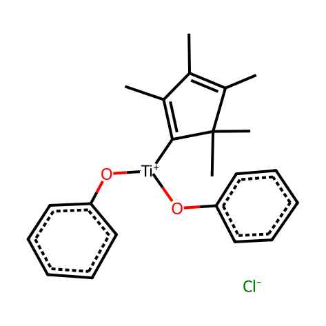 CC1=C(C)C(C)(C)[C]([Ti+]([O]c2ccccc2)[O]c2ccccc2)=C1C.[Cl-]